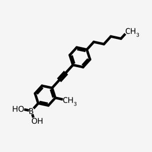 CCCCCc1ccc(C#Cc2ccc(B(O)O)cc2C)cc1